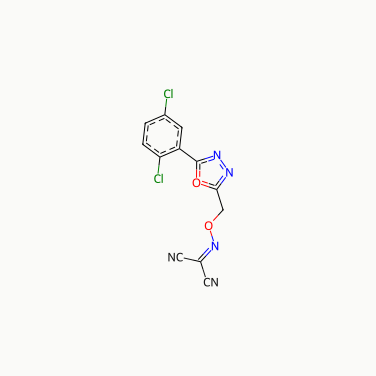 N#CC(C#N)=NOCc1nnc(-c2cc(Cl)ccc2Cl)o1